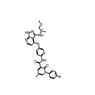 COC[C@@H](C)Nc1n[nH]c2nccc(Oc3ccc(NC(=O)c4cc(C)cn(-c5ccc(F)cc5)c4=O)nc3)c12